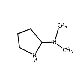 CN(C)C1CCCN1